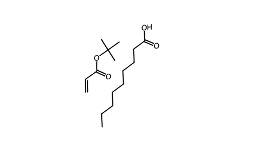 C=CC(=O)OC(C)(C)C.CCCCCCCCC(=O)O